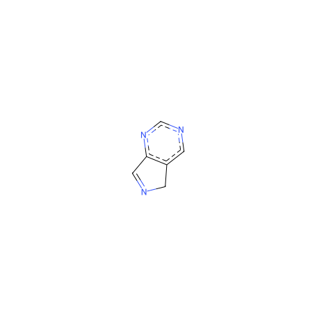 C1=NCc2cncnc21